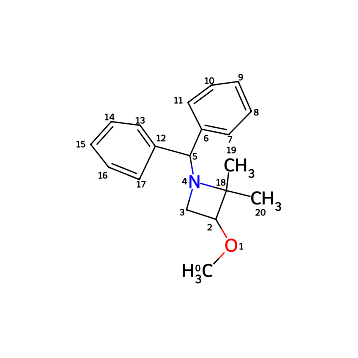 COC1CN(C(c2ccccc2)c2ccccc2)C1(C)C